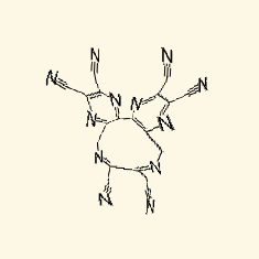 N#CC1=N/Cc2nc(C#N)c(C#N)nc2-c2nc(C#N)c(C#N)nc2C/N=C\1C#N